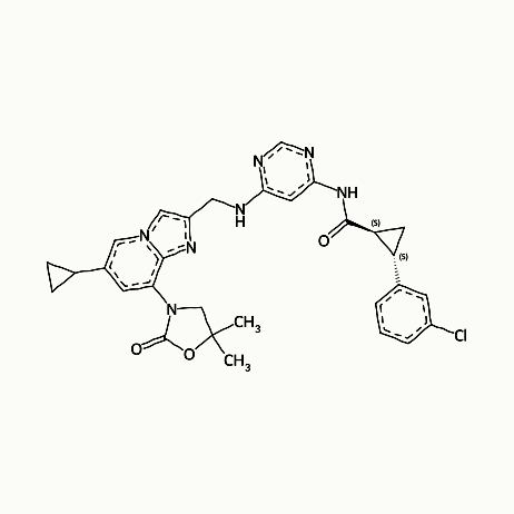 CC1(C)CN(c2cc(C3CC3)cn3cc(CNc4cc(NC(=O)[C@H]5C[C@@H]5c5cccc(Cl)c5)ncn4)nc23)C(=O)O1